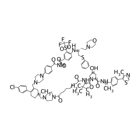 Cc1ncsc1-c1ccc([C@H](C)NC(=O)[C@@H]2C[C@@H](O)CN2C(=O)[C@@H](NC(=O)CCCCCCC(=O)N2CCN(C[C@@]3(C)CCC(c4ccc(Cl)cc4)=C(CN4CCN(c5ccc(C(=O)NS(=O)(=O)c6ccc(N[C@H](CCN7CCOCC7)CSc7ccccc7)c(S(=O)(=O)C(F)(F)F)c6)cc5)CC4)C3)CC2)C(C)(C)C)cc1